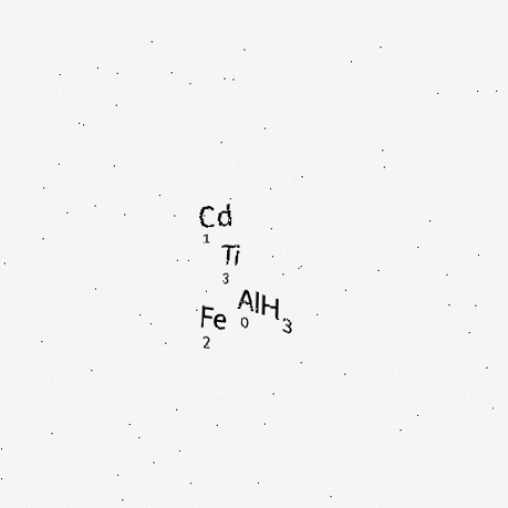 [AlH3].[Cd].[Fe].[Ti]